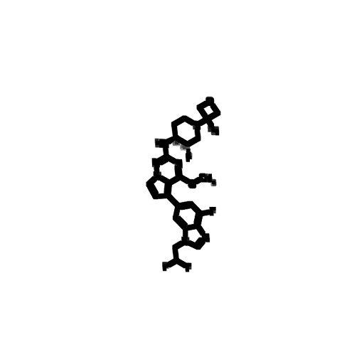 [2H]C1(N2CC[C@H](Nc3nc(OC)c4c(-c5cc(F)c6ncn(CC(F)F)c6c5)ccn4n3)[C@@H](F)C2)COC1